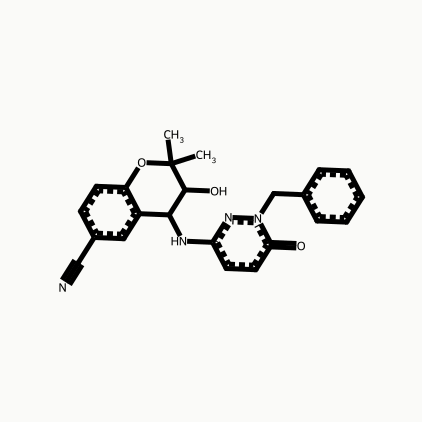 CC1(C)Oc2ccc(C#N)cc2C(Nc2ccc(=O)n(Cc3ccccc3)n2)C1O